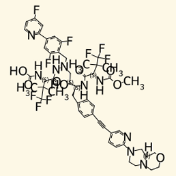 COC(=O)N[C@H](C(=O)N[C@@H](Cc1ccc(C#Cc2ccc(N3CCN4CCOC[C@H]4C3)nc2)cc1)[C@@H](O)CN(Cc1c(F)cc(-c2cc(F)ccn2)cc1F)NC(=O)[C@@H](NC(=O)O)C(C)(C)C(F)(F)F)C(C)(C)C(F)(F)F